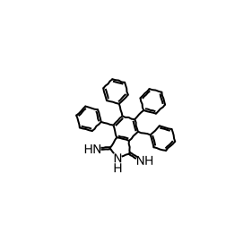 N=C1NC(=N)c2c1c(-c1ccccc1)c(-c1ccccc1)c(-c1ccccc1)c2-c1ccccc1